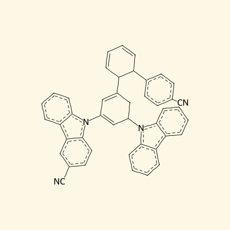 N#Cc1ccc(C2C=CC=CC2C2=CC(n3c4ccccc4c4cc(C#N)ccc43)=CC(n3c4ccccc4c4ccccc43)C2)cc1